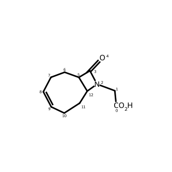 O=C(O)CN1C(=O)C2CCC=CCCC21